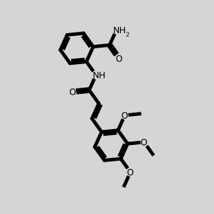 COc1ccc(C=CC(=O)Nc2ccccc2C(N)=O)c(OC)c1OC